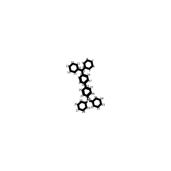 c1cc(C(C2CCCCC2)C2CCCCC2)ccc1-c1ccc(N(C2CCCCC2)C2CCCCC2)cc1